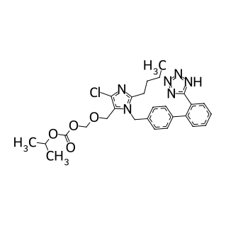 CCCCc1nc(Cl)c(COCOC(=O)OC(C)C)n1Cc1ccc(-c2ccccc2-c2nnn[nH]2)cc1